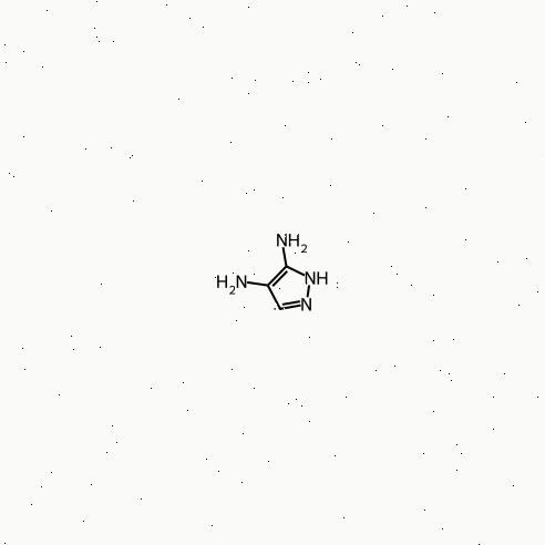 Nc1[c]n[nH]c1N